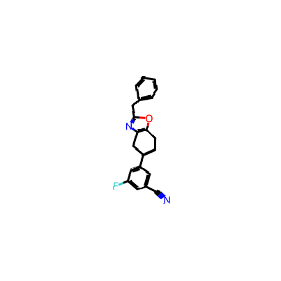 N#Cc1cc(F)cc(C2CCc3oc(Cc4ccccc4)nc3C2)c1